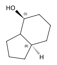 O[C@H]1CCC[C@H]2CCCC21